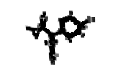 COC(=O)C(=[N+]=[N-])c1ccc(I)cc1